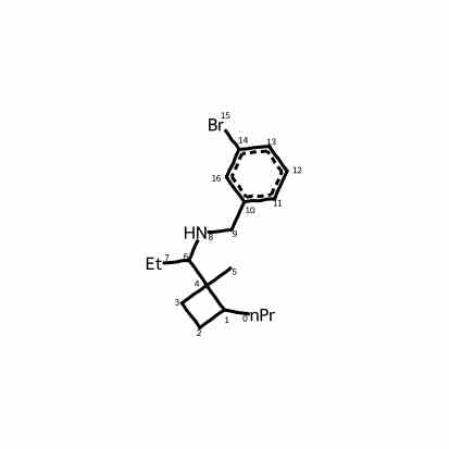 CCCC1CCC1(C)C(CC)NCc1cccc(Br)c1